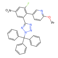 CC(C)Oc1ccc(-c2c(F)cc([N+](=O)[O-])cc2-c2nnn(C(c3ccccc3)(c3ccccc3)c3ccccc3)n2)cn1